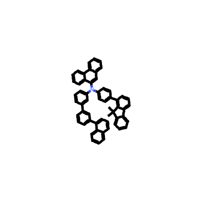 CC1(C)c2ccccc2-c2cccc(-c3ccc(N(c4cccc(-c5cccc(-c6cccc7ccccc67)c5)c4)c4cc5ccccc5c5ccccc45)cc3)c21